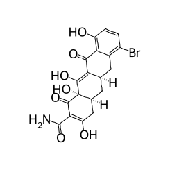 NC(=O)C1=C(O)C[C@@H]2C[C@@H]3Cc4c(Br)ccc(O)c4C(=O)C3=C(O)[C@]2(O)C1=O